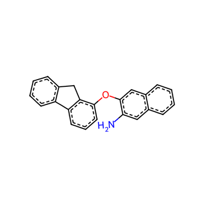 Nc1cc2ccccc2cc1Oc1cccc2c1Cc1ccccc1-2